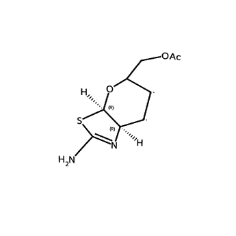 CC(=O)OCC1[CH][CH][C@H]2N=C(N)S[C@H]2O1